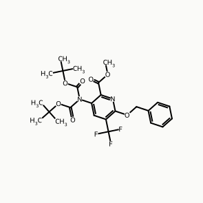 COC(=O)c1nc(OCc2ccccc2)c(C(F)(F)F)cc1N(C(=O)OC(C)(C)C)C(=O)OC(C)(C)C